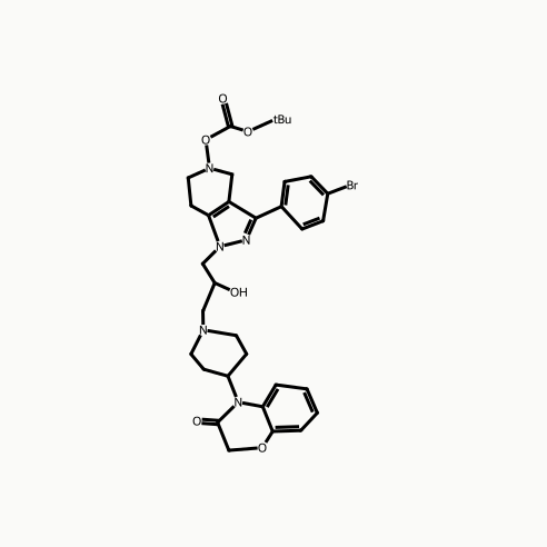 CC(C)(C)OC(=O)ON1CCc2c(c(-c3ccc(Br)cc3)nn2CC(O)CN2CCC(N3C(=O)COc4ccccc43)CC2)C1